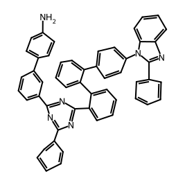 Nc1ccc(-c2cccc(-c3nc(-c4ccccc4)nc(-c4ccccc4-c4ccccc4-c4ccc(-n5c(-c6ccccc6)nc6ccccc65)cc4)n3)c2)cc1